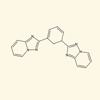 C1=CC(c2nc3ccccn3n2)CC(c2nc3ccccn3n2)=C1